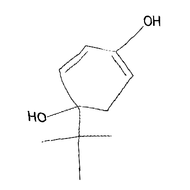 CC(C)(C)C1(O)C=CC(O)=CC1